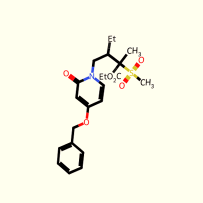 CCOC(=O)C(C)(C(CC)Cn1ccc(OCc2ccccc2)cc1=O)S(C)(=O)=O